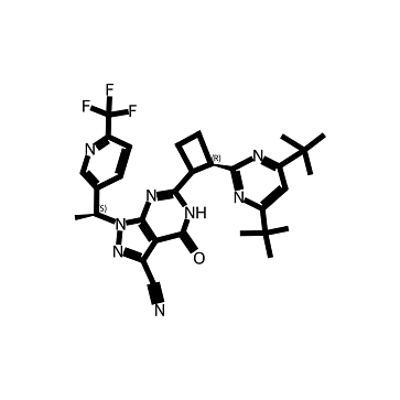 C[C@@H](c1ccc(C(F)(F)F)nc1)n1nc(C#N)c2c(=O)[nH]c(C3CC[C@H]3c3nc(C(C)(C)C)cc(C(C)(C)C)n3)nc21